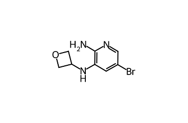 Nc1ncc(Br)cc1NC1COC1